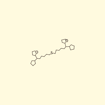 C(CCSCCCCCC(C1CCCC1)C1CCCO1)CCC(C1CCCC1)C1CCCO1